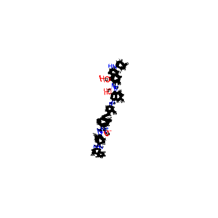 Cc1ccc(Nc2ccc3c(O)c(N=Nc4c(O)cc(N=Nc5ccc(C=Cc6ccc([N+]([O-])=Nc7ccc(-n8nc9cc(C)c%10ccccc%10c9n8)cc7)cc6C)c(C)c5)c5cc(C)ccc45)c(C)cc3c2)cc1